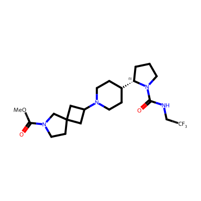 COC(=O)N1CCC2(CC(N3CCC([C@@H]4CCCN4C(=O)NCC(F)(F)F)CC3)C2)C1